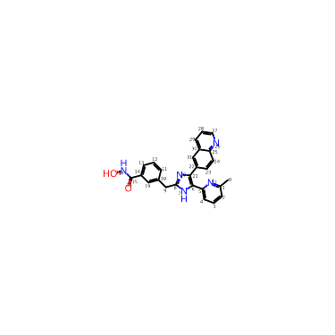 Cc1cccc(-c2[nH]c(Cc3cccc(C(=O)NO)c3)nc2-c2ccc3ncccc3c2)n1